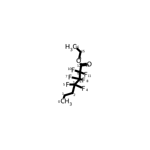 CCCC(F)(F)C(F)(F)C(F)(F)C(=O)OCC